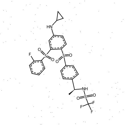 C[C@H](NS(=O)(=O)C(F)(F)F)c1ccc(S(=O)(=O)c2ccc(NC3CC3)cc2S(=O)(=O)c2ccccc2F)cc1